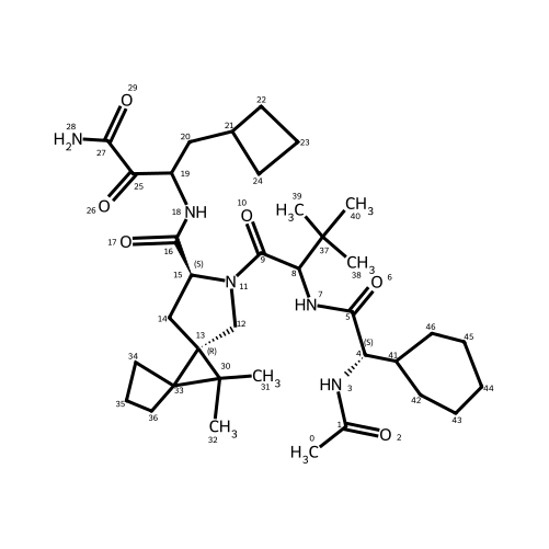 CC(=O)N[C@H](C(=O)NC(C(=O)N1C[C@]2(C[C@H]1C(=O)NC(CC1CCC1)C(=O)C(N)=O)C(C)(C)C21CCC1)C(C)(C)C)C1CCCCC1